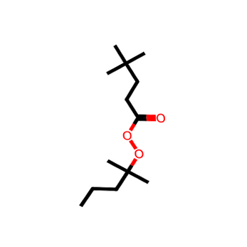 CCCC(C)(C)OOC(=O)CCC(C)(C)C